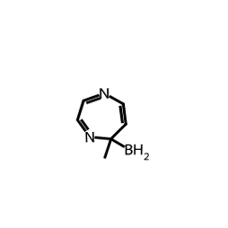 BC1(C)C=CN=CC=N1